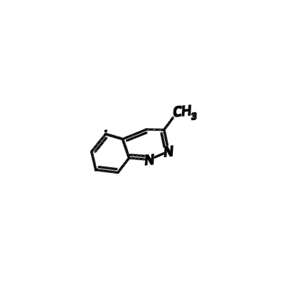 Cc1cc2[c]cccc2nn1